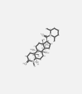 CC1CCCC(C)N1C(=O)[C@H]1CC[C@H]2[C@@H]3CC[C@H]4N(C)C(=O)CC[C@]4(C)[C@H]3CC[C@]12C